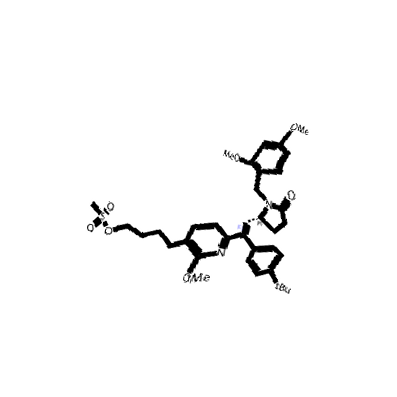 COc1ccc(CN2C(=O)CC[C@@H]2/C=C(\c2ccc(C(C)(C)C)cc2)c2ccc(CCCCOS(C)(=O)=O)c(OC)n2)c(OC)c1